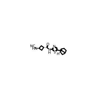 N#CN[C@H]1C[C@H](C(=O)Nc2ncc([C@@H]3CC4CCC3CC4)s2)C1